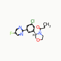 C=CC(=O)N1CCOC[C@H]1c1cc(Cl)cc(-c2ncc(F)cn2)c1